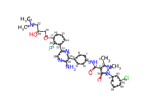 Cc1c(C(=O)Nc2ccc(-c3nc(-c4cccc(OCC(O)CN(C)C)c4F)cnc3N)cc2)c(=O)n(-c2cccc(Cl)c2)n1C